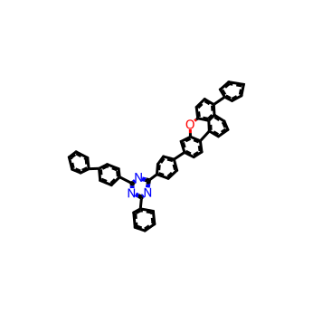 c1ccc(-c2ccc(-c3nc(-c4ccccc4)nc(-c4ccc(-c5ccc6c(c5)Oc5ccc(-c7ccccc7)c7cccc-6c57)cc4)n3)cc2)cc1